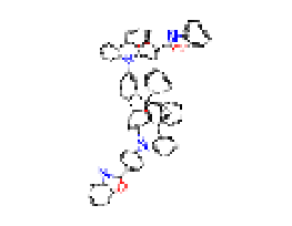 c1ccc(-c2ccccc2N(c2ccc(-c3nc4ccccc4o3)cc2)c2ccc3c(c2)C(c2ccccc2)(c2ccccc2)c2cc(N(c4ccc(-c5nc6ccccc6o5)cc4)c4ccccc4-c4ccccc4)ccc2-3)cc1